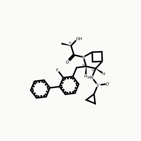 C[C@@H](O)C(=O)N1C2CC(C2)[C@H](N[S+]([O-])C2CC2)[C@@H]1Cc1cccc(-c2ccccc2)c1F